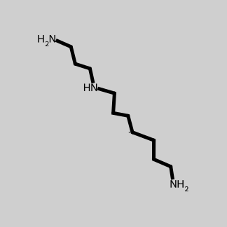 NCCC[CH]CCCNCCCN